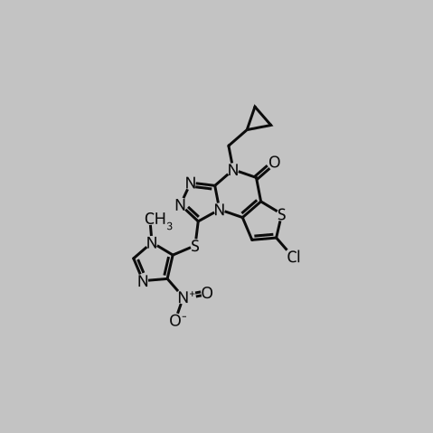 Cn1cnc([N+](=O)[O-])c1Sc1nnc2n(CC3CC3)c(=O)c3sc(Cl)cc3n12